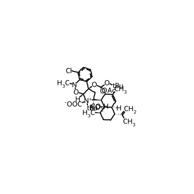 C=C(C)[C@@H]1CC[C@@H](C)[C@@]2(O)[C@H]1C=C(C)[C@H](OC(C)=O)[C@@H]2[C@]1(C(=O)O)C[C@@]2(OC(=O)OC(C)(C)C)c3cccc(Cl)c3N(C)O[C@H]2[N+]1(C(=O)[O-])C(C)(C)C